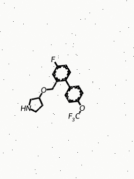 Fc1ccc(-c2ccc(OC(F)(F)F)cc2)c(COC2CCNC2)c1